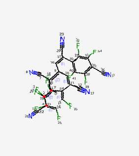 CC(=C(/F)CF)/C(C#N)=C(\C=C(C#N)/C(=C\F)C(/F)=C(F)\C(C#N)=C\F)/C=C(/C#N)c1c(F)c(F)c(C#N)c(F)c1F